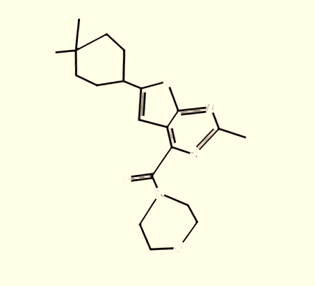 Cc1nc(C(=O)N2CCOCC2)c2cc(C3CCC(C)(C)CC3)sc2n1